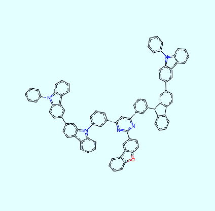 c1ccc(-n2c3ccccc3c3cc(-c4ccc5c(c4)C(c4cccc(-c6cc(-c7cccc(-n8c9ccccc9c9ccc(-c%10ccc%11c(c%10)c%10ccccc%10n%11-c%10ccccc%10)cc98)c7)nc(-c7ccc8oc9ccccc9c8c7)n6)c4)c4ccccc4-5)ccc32)cc1